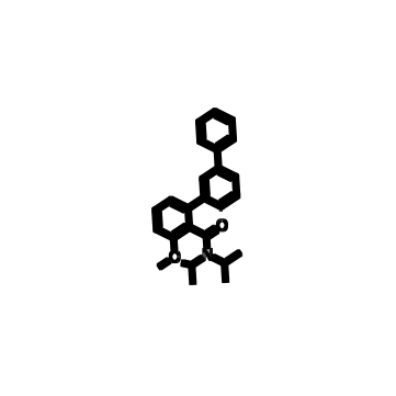 COc1cccc(-c2[c]ccc(-c3ccccc3)c2)c1C(=O)N(C(C)C)C(C)C